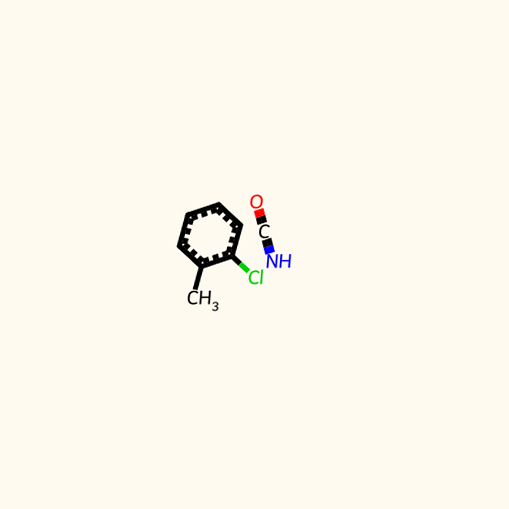 Cc1ccccc1Cl.N=C=O